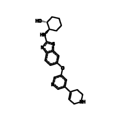 O[C@@H]1CCCC[C@H]1Nc1nc2ccc(Oc3cncc(C4=CCNCC4)c3)cc2s1